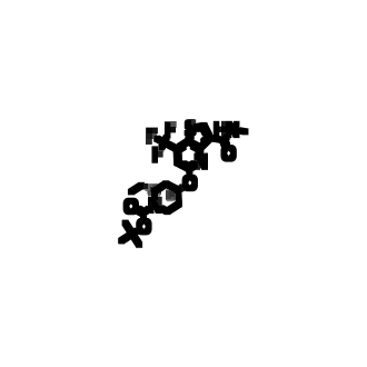 CC[C@@H]1C[C@@H](Oc2cc(C(F)(F)F)c3scc(C(=O)NC)c3n2)CCN1C(=O)OC(C)(C)C